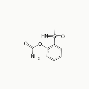 CS(=N)(=O)c1ccccc1OC(N)=O